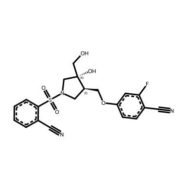 N#Cc1ccc(OC[C@H]2CN(S(=O)(=O)c3ccccc3C#N)C[C@@]2(O)CO)cc1F